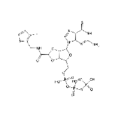 Cc1ccsc1CNC(=O)C1OC2C(COP(=O)(O)OP(=O)(O)OP(=O)(O)O)OC(n3cnc4c(=S)[nH]c(N)nc43)C2O1